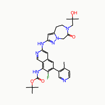 Cc1ccncc1-c1cc2cc(Nc3cc4n(n3)CC(=O)N(CC(C)(C)O)CC4)ncc2c(NC(=O)OC(C)(C)C)c1F